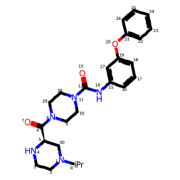 CC(C)N1CCN[C@@H](C(=O)N2CCN(C(=O)Nc3cccc(Oc4ccccc4)c3)CC2)C1